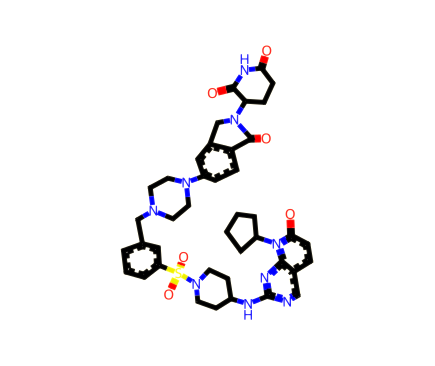 O=C1CCC(N2Cc3cc(N4CCN(Cc5cccc(S(=O)(=O)N6CCC(Nc7ncc8ccc(=O)n(C9CCCC9)c8n7)CC6)c5)CC4)ccc3C2=O)C(=O)N1